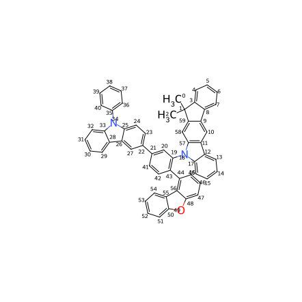 CC1(C)c2ccccc2-c2cc3c4ccccc4n(-c4cc(-c5ccc6c(c5)c5ccccc5n6-c5ccccc5)ccc4-c4cccc5oc6ccccc6c45)c3cc21